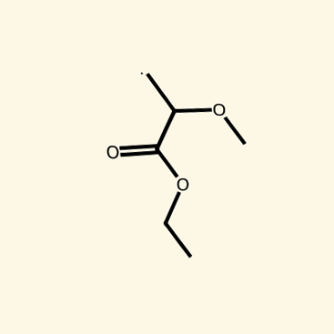 [CH2]C(OC)C(=O)OCC